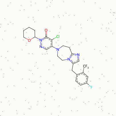 O=c1c(Cl)c(N2CCc3ncc(Cc4ccc(F)cc4C(F)(F)F)n3CC2)cnn1C1CCCCO1